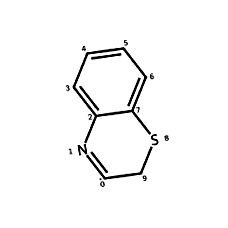 [C]1=Nc2ccccc2SC1